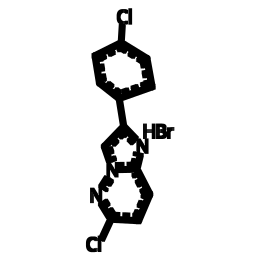 Br.Clc1ccc(-c2cn3nc(Cl)ccc3n2)cc1